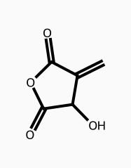 C=C1C(=O)OC(=O)C1O